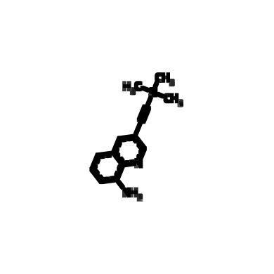 C[Si](C)(C)C#Cc1cnc2c(N)cccc2c1